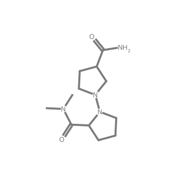 CN(C)C(=O)C1CCCN1N1CCC(C(N)=O)C1